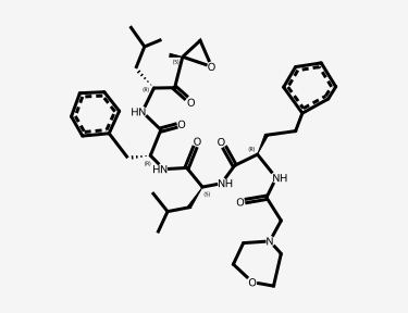 CC(C)C[C@H](NC(=O)[C@@H](CCc1ccccc1)NC(=O)CN1CCOCC1)C(=O)N[C@H](Cc1ccccc1)C(=O)N[C@H](CC(C)C)C(=O)[C@]1(C)CO1